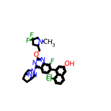 CN1CC(F)(F)CC1COc1nc(N2CC3CCC(C2)N3)c2cc(Cl)c(-c3cc(O)cc4cccc(Cl)c34)c(F)c2n1